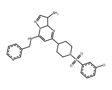 BC1C=NN2C(NCc3cccnc3)=CC(C3CCN(S(=O)(=O)c4cccc(Cl)c4)CC3)=NC12